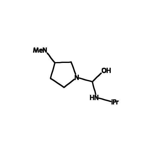 CNC1CCN(C(O)NC(C)C)C1